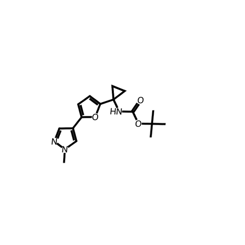 Cn1cc(-c2ccc(C3(NC(=O)OC(C)(C)C)CC3)o2)cn1